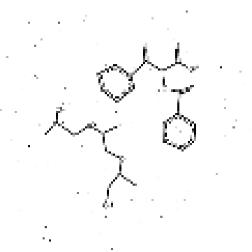 CC(O)COC(C)COC(C)CO.O=C(OC(C(=O)O)C(=O)c1ccccc1)c1ccccc1